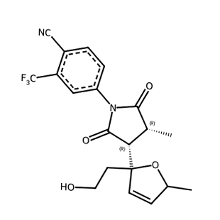 CC1C=CC(CCO)([C@@H]2C(=O)N(c3ccc(C#N)c(C(F)(F)F)c3)C(=O)[C@@H]2C)O1